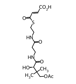 CC(=O)OCC(C)(C)[C@@H](O)C(=O)NCCC(=O)NCCSC(=O)/C=C/C(=O)O